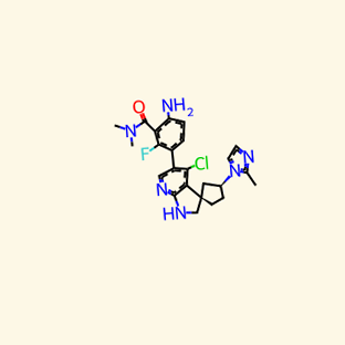 Cc1nccn1[C@H]1CC[C@]2(CNc3ncc(-c4ccc(N)c(C(=O)N(C)C)c4F)c(Cl)c32)C1